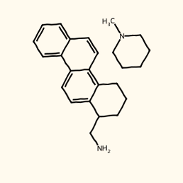 CN1CCCCC1.NCC1CCCc2c1ccc1c2ccc2ccccc21